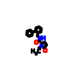 CCN1C(=O)CC[C@H]1C(=O)NCc1ccccc1-c1ccccc1